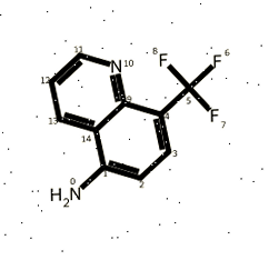 Nc1ccc(C(F)(F)F)c2ncccc12